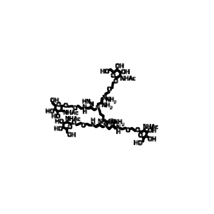 CC(=O)NC1C(OCCOCCN/C=C(\N)CN(C/C(=C/NCCOCCOC2OC(CO)C(O)C(O)C2NC(C)=O)NN)C(CCCCN(C/C(N)=C/N(N)CCOCCOC2OC(CO)C(O)C(O)C2NC(C)=O)C/C(=C/NCCOCCOC2OC(CO)C(O)C(O)C2NC(C)=O)N=N)C(C)(C)C)OC(CO)C(O)C1O